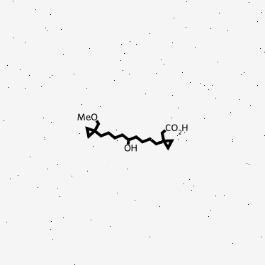 COCC1(CCCCC(O)CCCCC2(CC(=O)O)CC2)CC1